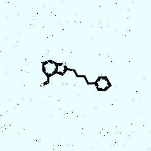 O=Cc1cccc2oc(CCCCc3ccccc3)cc12